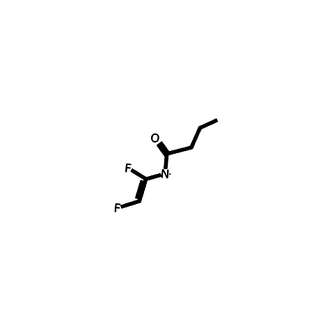 CCCC(=O)[N]/C(F)=C/F